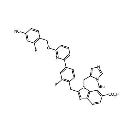 CCCCn1cncc1Cn1c(Cc2ccc(-c3cccc(OCc4ccc(C#N)cc4F)n3)cc2F)nc2ccc(C(=O)O)cc21